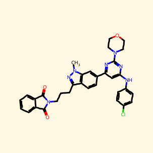 Cn1nc(CCCN2C(=O)c3ccccc3C2=O)c2ccc(-c3cc(Nc4ccc(Cl)cc4)nc(N4CCOCC4)n3)cc21